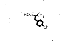 CC(Cc1ccc(Cl)cc1)C(=O)O